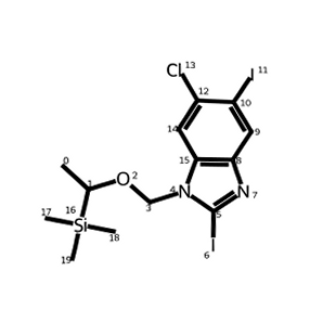 CC(OCn1c(I)nc2cc(I)c(Cl)cc21)[Si](C)(C)C